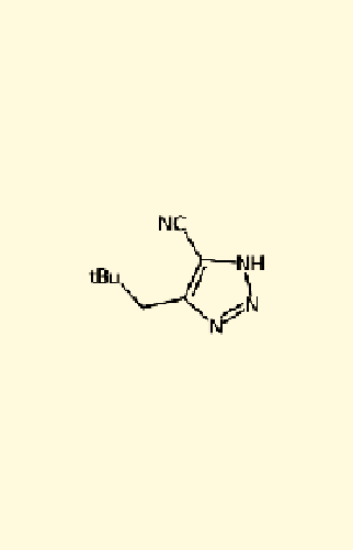 CC(C)(C)Cc1nn[nH]c1C#N